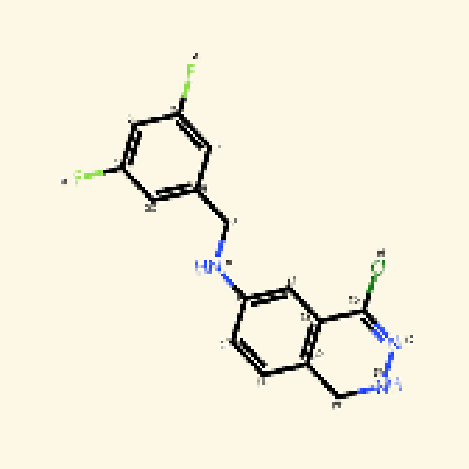 Fc1cc(F)cc(CNc2ccc3c(c2)C(Cl)=NNC3)c1